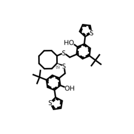 CC(C)(C)c1cc(CSC2CCCCCC[C@@H]2SCc2cc(C(C)(C)C)cc(-c3cccs3)c2O)c(O)c(-c2cccs2)c1